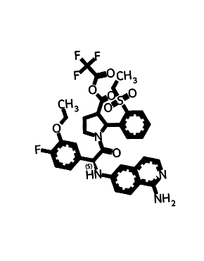 CCOc1cc([C@H](Nc2ccc3c(N)nccc3c2)C(=O)N2CCC(C(=O)OC(=O)C(F)(F)F)C2c2ccccc2S(=O)(=O)CC)ccc1F